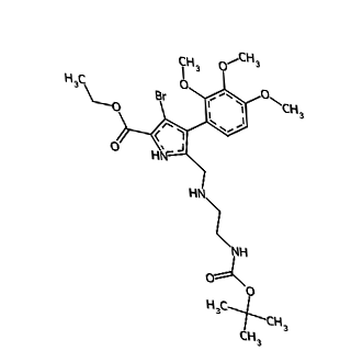 CCOC(=O)c1[nH]c(CNCCNC(=O)OC(C)(C)C)c(-c2ccc(OC)c(OC)c2OC)c1Br